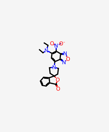 CCN(CC)c1cc(N2CCC3(CC2)OC(=O)c2ccccc23)c2nonc2c1[N+](=O)[O-]